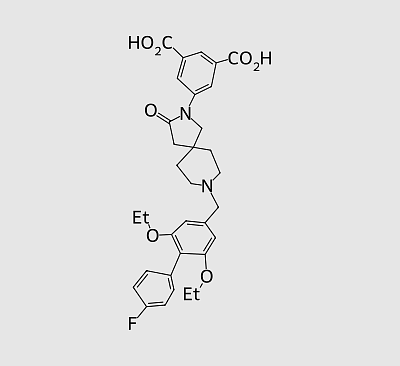 CCOc1cc(CN2CCC3(CC2)CC(=O)N(c2cc(C(=O)O)cc(C(=O)O)c2)C3)cc(OCC)c1-c1ccc(F)cc1